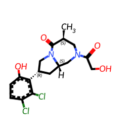 C[C@H]1CN(C(=O)CO)C[C@@H]2C[C@H](c3c(O)ccc(Cl)c3Cl)CN2C1=O